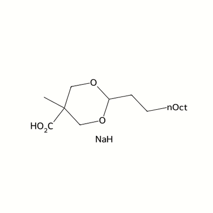 CCCCCCCCCCC1OCC(C)(C(=O)O)CO1.[NaH]